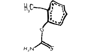 Cc1ccccc1OC(N)=S